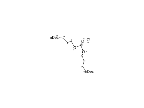 CCCCCCCCCCCCCOC(=O)OCCCCCCCCCCCCC.[C]